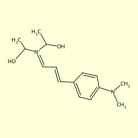 CC(O)[N+](=C/C=C/c1ccc(N(C)C)cc1)C(C)O